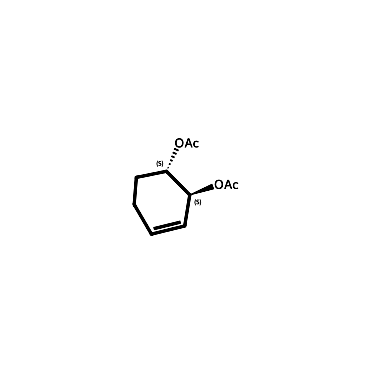 CC(=O)O[C@H]1C=CCC[C@@H]1OC(C)=O